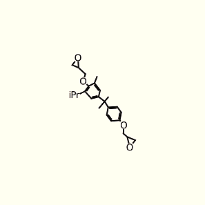 Cc1cc(C(C)(C)c2ccc(OCC3CO3)cc2)cc(C(C)C)c1OCC1CO1